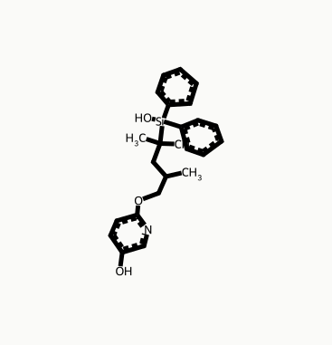 CC(COc1ccc(O)cn1)CC(C)(C)[Si](O)(c1ccccc1)c1ccccc1